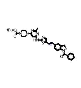 Cc1nc(Nc2ncc(/C=C/c3ccc4c(cnn4C(=O)c4ccccc4)c3)s2)cc(N2CCN(C(=O)OC(C)(C)C)CC2)n1